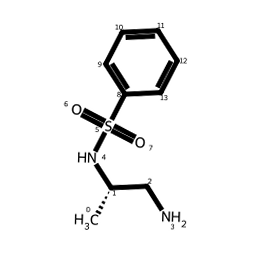 C[C@@H](CN)NS(=O)(=O)c1ccccc1